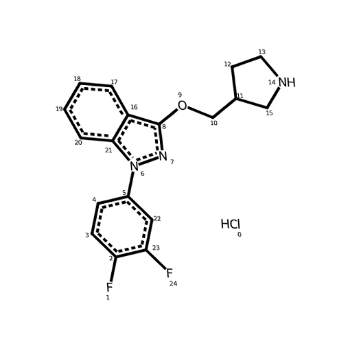 Cl.Fc1ccc(-n2nc(OCC3CCNC3)c3ccccc32)cc1F